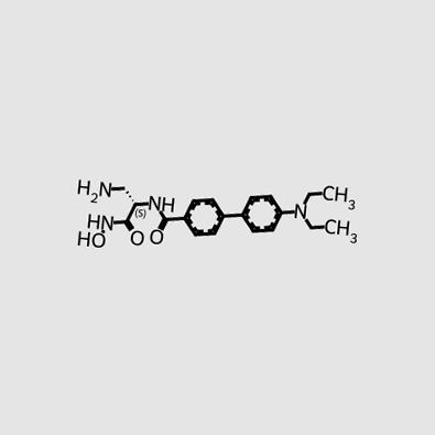 CCN(CC)c1ccc(-c2ccc(C(=O)N[C@@H](CN)C(=O)NO)cc2)cc1